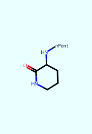 CCCCCNC1CCCNC1=O